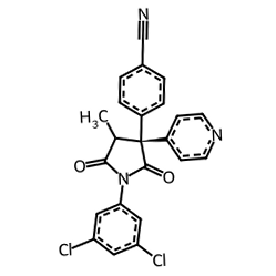 CC1C(=O)N(c2cc(Cl)cc(Cl)c2)C(=O)[C@@]1(c1ccncc1)c1ccc(C#N)cc1